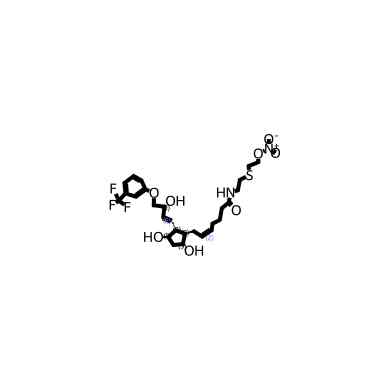 O=C(CCC/C=C\C[C@@H]1[C@@H](/C=C/[C@@H](O)COc2cccc(C(F)(F)F)c2)[C@H](O)C[C@@H]1O)NCCSCCO[N+](=O)[O-]